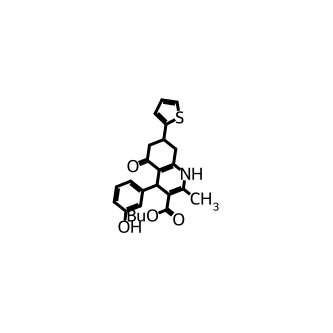 CC1=C(C(=O)OCC(C)C)C(c2cccc(O)c2)C2=C(CC(c3cccs3)CC2=O)N1